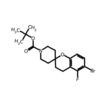 CC(C)(C)OC(=O)N1CCC2(CCc3c(ccc(Br)c3F)O2)CC1